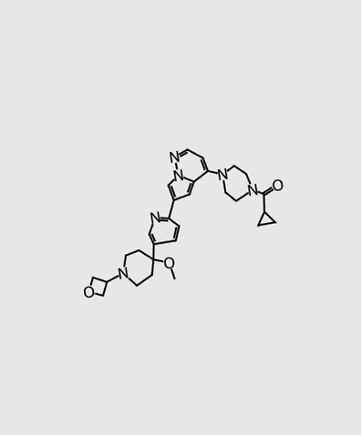 COC1(c2ccc(-c3cc4c(N5CCN(C(=O)C6CC6)CC5)ccnn4c3)nc2)CCN(C2COC2)CC1